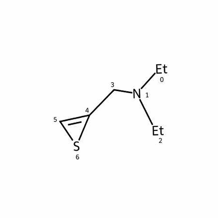 CCN(CC)CC1=CS1